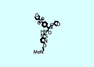 CNCCOc1ccc2nc(NC(=O)/C(=N/O[C@@H]3CCOC3)c3ccc(S(=O)(=O)[C@H]4CCOC4)cc3)sc2n1